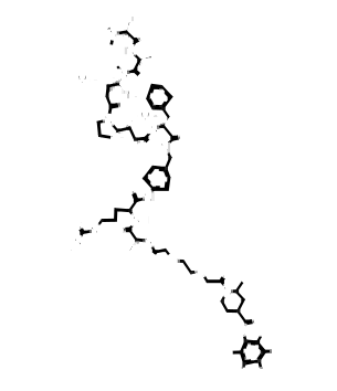 CC[C@H](C)[C@@H]([C@@H](CC(=O)N1CCC[C@H]1[C@H](OC)[C@@H](C)C(=O)N[C@@H](Cc1ccccc1)C(=O)NCc1ccc(NC(=O)C(CCCNC(N)=O)NC(=O)[C@@H](NC(=O)COCCOCC(=O)N2CCC(C(=O)Oc3c(F)c(F)c(F)c(F)c3F)CC2C)C(C)C)cc1)OC)N(C)C(=O)[C@@H](NC(=O)[C@H](C(C)C)N(C)C)C(C)C